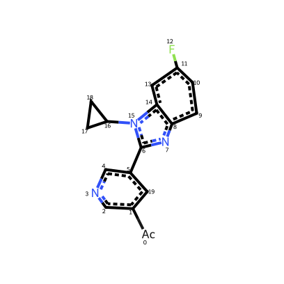 CC(=O)c1cncc(-c2nc3ccc(F)cc3n2C2CC2)c1